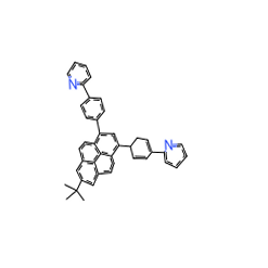 CC(C)(C)c1cc2ccc3c(-c4ccc(-c5ccccn5)cc4)cc(C4C=CC(c5ccccn5)=CC4)c4ccc(c1)c2c34